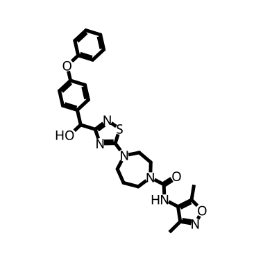 Cc1noc(C)c1NC(=O)N1CCCN(c2nc(C(O)c3ccc(Oc4ccccc4)cc3)ns2)CC1